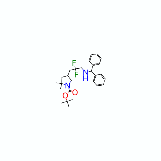 CC(C)(C)OC(=O)N1CC(CC(F)(F)CNC(c2ccccc2)c2ccccc2)CC1(C)C